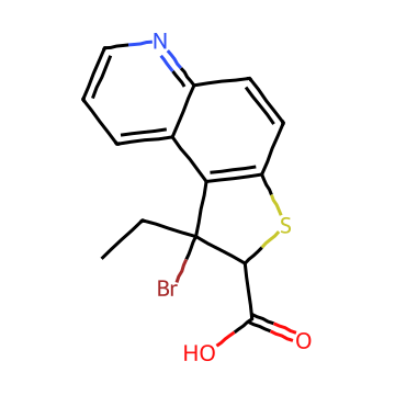 CCC1(Br)c2c(ccc3ncccc23)SC1C(=O)O